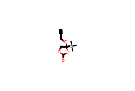 C#CCOC1([Si](C)(C)C)COC(=O)O1